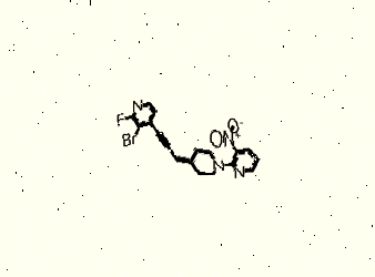 O=[N+]([O-])c1cccnc1N1CCC(=CC#Cc2ccnc(F)c2Br)CC1